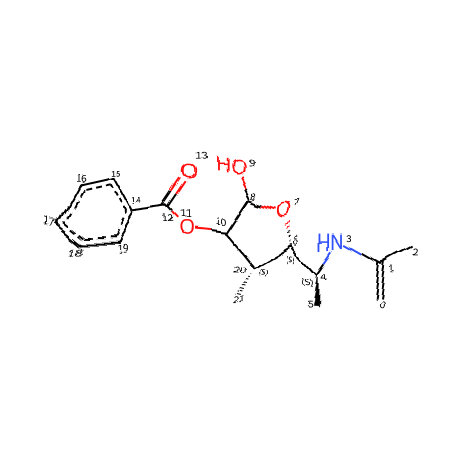 C=C(C)N[C@@H](C)[C@H]1OC(O)C(OC(=O)c2ccccc2)[C@H]1C